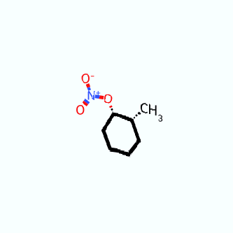 C[C@@H]1CCCC[C@@H]1O[N+](=O)[O-]